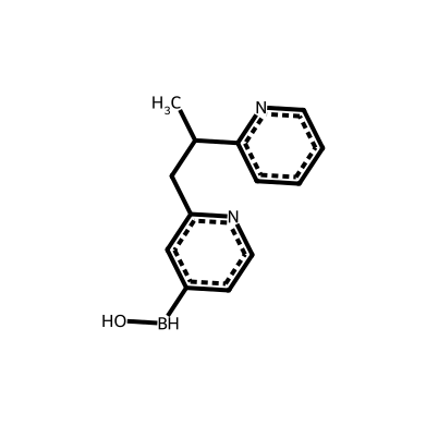 CC(Cc1cc(BO)ccn1)c1ccccn1